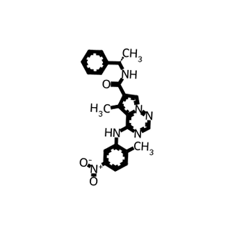 Cc1ccc([N+](=O)[O-])cc1Nc1ncnn2cc(C(=O)N[C@@H](C)c3ccccc3)c(C)c12